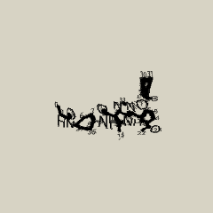 CCC(=O)N[C@H]1CC[C@H](NC(=O)c2c(C)[nH]c3c(-c4cc(C(C)=O)ccc4OCC4CC4)ncnc23)CC1